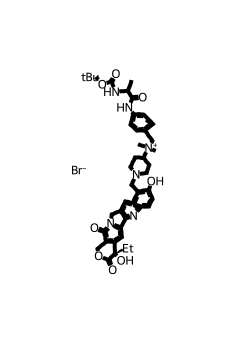 CC[C@@]1(O)C(=O)OCc2c1cc1n(c2=O)Cc2cc3c(CN4CCC([N+](C)(C)Cc5ccc(NC(=O)C(C)NC(=O)OC(C)(C)C)cc5)CC4)c(O)ccc3nc2-1.[Br-]